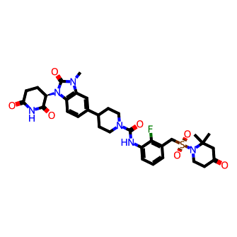 Cn1c(=O)n([C@@H]2CCC(=O)NC2=O)c2ccc(C3CCN(C(=O)Nc4cccc(CS(=O)(=O)N5CCC(=O)CC5(C)C)c4F)CC3)cc21